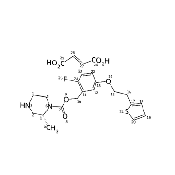 C[C@@H]1CNCCN1C(=O)OCc1cc(OCCc2cccs2)ccc1F.O=C(O)C=CC(=O)O